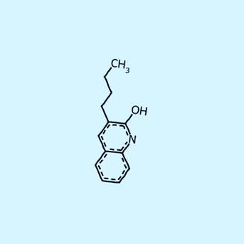 CCCCc1cc2ccccc2nc1O